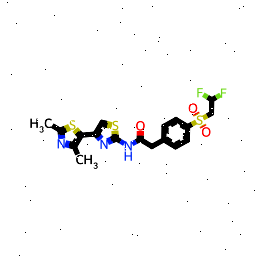 Cc1nc(C)c(-c2csc(NC(=O)Cc3ccc(S(=O)(=O)CC(F)F)cc3)n2)s1